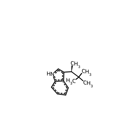 C[C@H](c1c[nH]c2ccccc12)C(C)(C)C